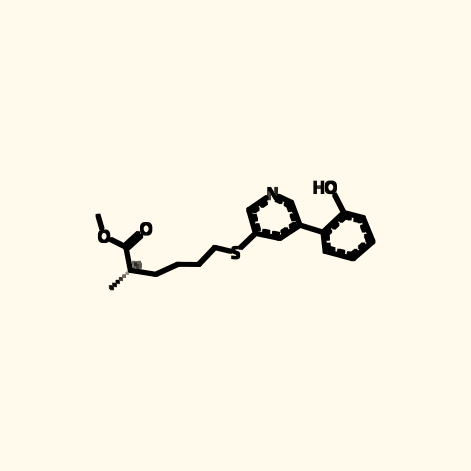 COC(=O)[C@@H](C)CCCCSc1cncc(-c2ccccc2O)c1